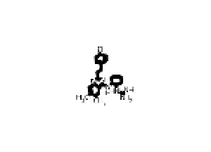 Cc1cc2nc(/C=C/c3ccc(Cl)cc3)nc(NC3CCCCC3NC(=N)N)c2cc1C